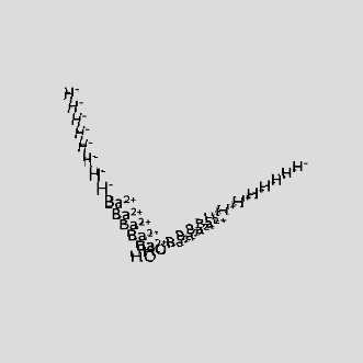 [Ba+2].[Ba+2].[Ba+2].[Ba+2].[Ba+2].[Ba+2].[Ba+2].[Ba+2].[Ba+2].[H-].[H-].[H-].[H-].[H-].[H-].[H-].[H-].[H-].[H-].[H-].[H-].[H-].[H-].[H-].[H-].[OH-].[OH-]